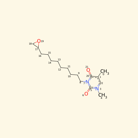 Cc1cn(C)c(=O)n(CCCCCCCCCC2CO2)c1=O